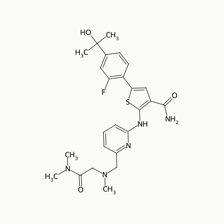 CN(CC(=O)N(C)C)Cc1cccc(Nc2sc(-c3ccc(C(C)(C)O)cc3F)cc2C(N)=O)n1